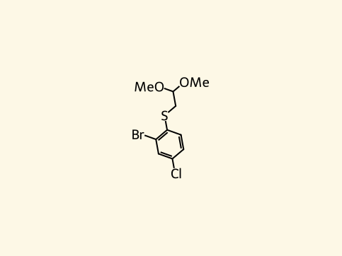 COC(CSc1ccc(Cl)cc1Br)OC